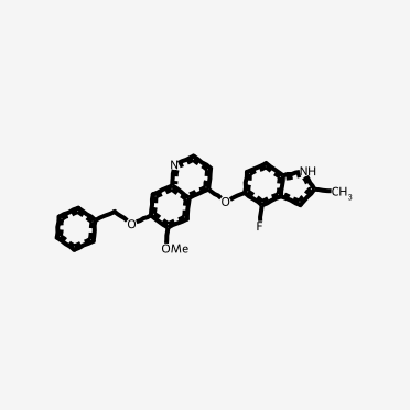 COc1cc2c(Oc3ccc4[nH]c(C)cc4c3F)ccnc2cc1OCc1ccccc1